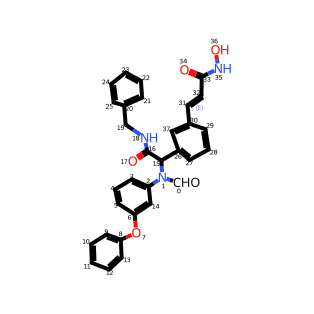 O=CN(c1cccc(Oc2ccccc2)c1)C(C(=O)NCc1ccccc1)c1cccc(/C=C/C(=O)NO)c1